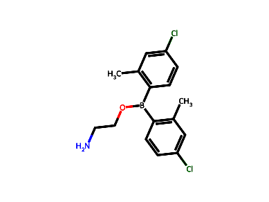 Cc1cc(Cl)ccc1B(OCCN)c1ccc(Cl)cc1C